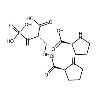 O=C(O)[C@@H]1CCCN1.O=C(O)[C@@H]1CCCN1.O=C(O)[C@H](CO)NP(=O)(O)O